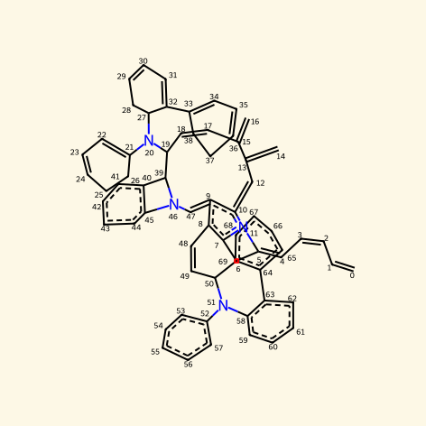 C=C/C=C\C=C1\C2c3c(c4/c(n31)=C\C(=C)C(=C)/C=C\C(N(C1=CC=CCC1)C1CC=CC=C1C1=CC=CCC1)C1c3ccccc3N1/C=4)C=CC2N(c1ccccc1)c1ccccc1-c1ccccc1